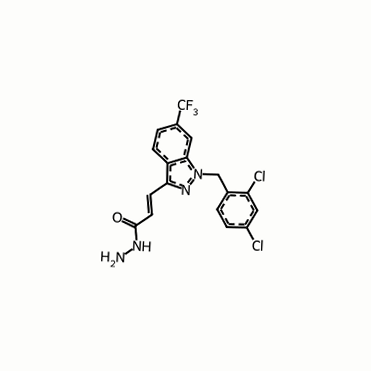 NNC(=O)C=Cc1nn(Cc2ccc(Cl)cc2Cl)c2cc(C(F)(F)F)ccc12